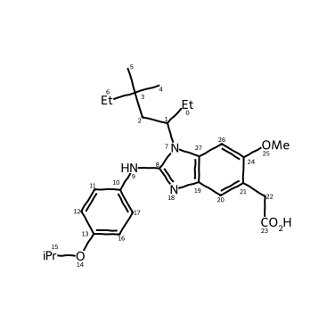 CCC(CC(C)(C)CC)n1c(Nc2ccc(OC(C)C)cc2)nc2cc(CC(=O)O)c(OC)cc21